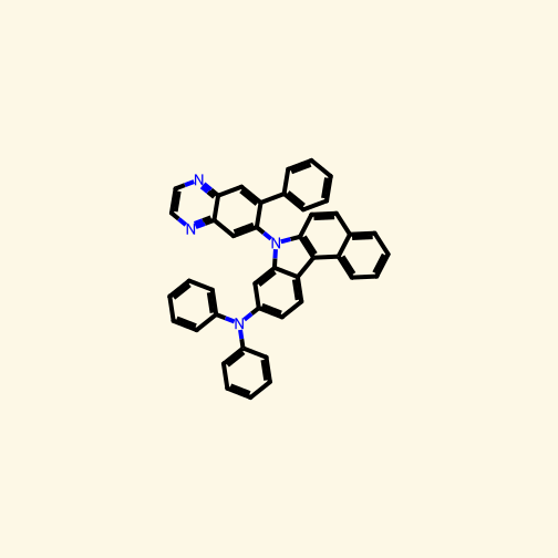 c1ccc(-c2cc3nccnc3cc2-n2c3cc(N(c4ccccc4)c4ccccc4)ccc3c3c4ccccc4ccc32)cc1